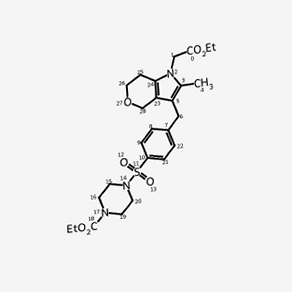 CCOC(=O)Cn1c(C)c(Cc2ccc(S(=O)(=O)N3CCN(C(=O)OCC)CC3)cc2)c2c1CCOC2